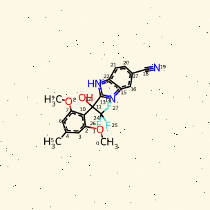 COc1cc(C)cc(OC)c1C(O)(c1nc2cc(C#N)ccc2[nH]1)C(F)(F)F